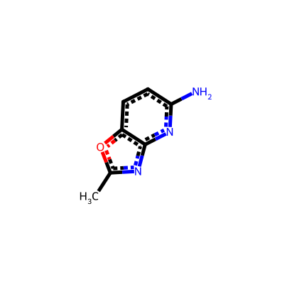 Cc1nc2nc(N)ccc2o1